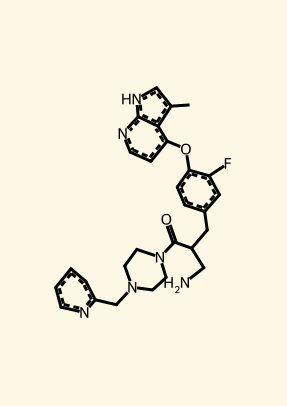 Cc1c[nH]c2nccc(Oc3ccc(CC(CN)C(=O)N4CCN(Cc5ccccn5)CC4)cc3F)c12